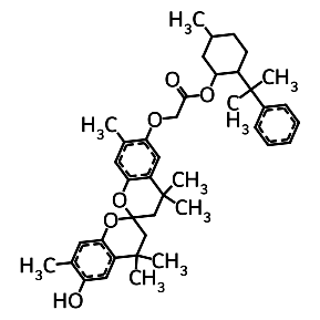 Cc1cc2c(cc1O)C(C)(C)CC1(CC(C)(C)c3cc(OCC(=O)OC4CC(C)CCC4C(C)(C)c4ccccc4)c(C)cc3O1)O2